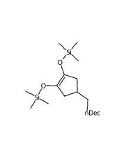 CCCCCCCCCCCC1CC(O[Si](C)(C)C)=C(O[Si](C)(C)C)C1